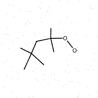 CC(C)(C)CC(C)(C)O[O]